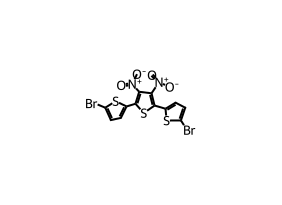 O=[N+]([O-])c1c(-c2ccc(Br)s2)sc(-c2ccc(Br)s2)c1[N+](=O)[O-]